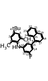 Cc1cc(C(C)(C)C)cc(C)c1Nc1cc(F)cc(-c2cccc3ccccc23)c1